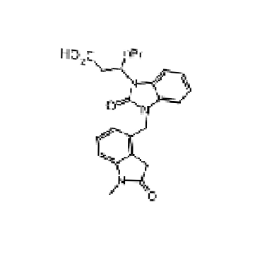 CCCC(CC(=O)O)n1c(=O)n(Cc2cccc3c2CC(=O)N3C)c2ccccc21